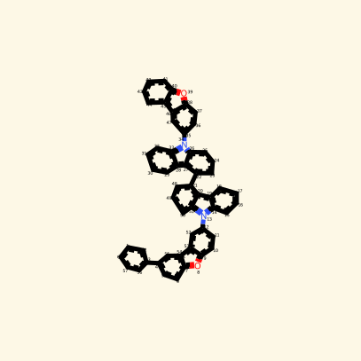 c1ccc(-c2ccc3oc4ccc(-n5c6ccccc6c6c(-c7cccc8c7c7ccccc7n8-c7ccc8oc9ccccc9c8c7)cccc65)cc4c3c2)cc1